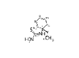 CC[C@@]1(NC(N)=S)C=CC=CC1